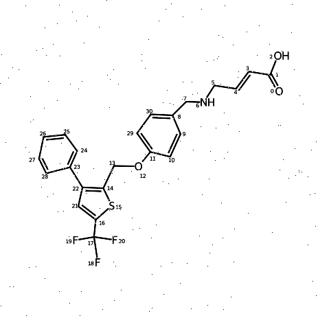 O=C(O)C=CCNCc1ccc(OCc2sc(C(F)(F)F)cc2-c2ccccc2)cc1